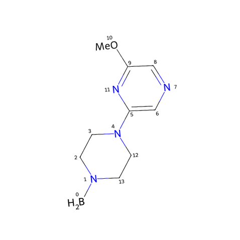 BN1CCN(c2cncc(OC)n2)CC1